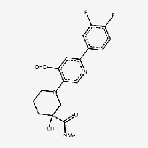 CNC(=O)C1(O)CCCN(c2cnc(-c3ccc(F)c(F)c3)cc2C=O)C1